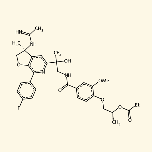 CCC(=O)O[C@H](C)COc1ccc(C(=O)NCC(O)(c2cc3c(c(-c4ccc(F)cc4)n2)OC[C@@]3(C)NC(C)=N)C(F)(F)F)cc1OC